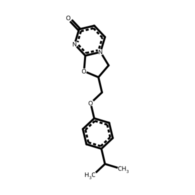 CC(C)c1ccc(OCC2Cn3ccc(=O)nc3O2)cc1